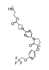 CNCCOC(=O)C1CN(c2ncc(N3CC[C@@H](Oc4ccc(OCC(F)(F)F)nc4)C3=O)cn2)C1